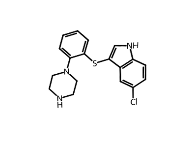 Clc1ccc2[nH]cc(Sc3ccccc3N3CCNCC3)c2c1